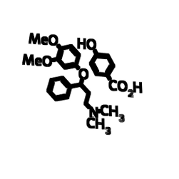 COc1ccc(OC(CCN(C)C)c2ccccc2)cc1OC.O=C(O)c1ccc(O)cc1